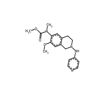 COC(=O)N(C)c1cc2c(cc1OC)CN(Nc1ccncc1)CC2